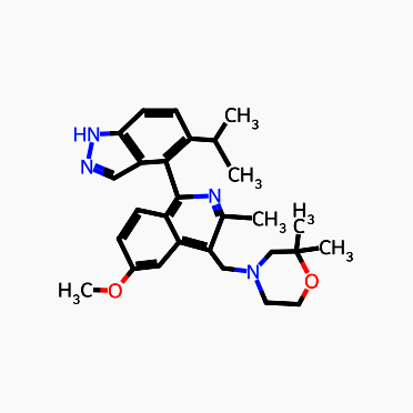 COc1ccc2c(-c3c(C(C)C)ccc4[nH]ncc34)nc(C)c(CN3CCOC(C)(C)C3)c2c1